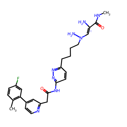 CNC(=O)/C(N)=C/N(N)CCCCc1ccc(NC(=O)Cc2cc(-c3cc(F)ccc3C)ccn2)nn1